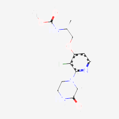 C[C@@H](COc1ccnc(N2CCNC(=O)C2)c1F)NC(=O)OC(C)(C)C